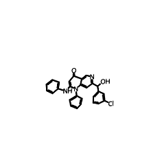 O=c1cc(Nc2ccccc2)n(-c2ccccc2)c2cc(C(O)c3cccc(Cl)c3)ncc12